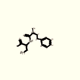 C=C(C)C(CC(C)C)NC(=C)[C@@H](C)CCc1ccccc1